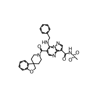 CS(=O)(=O)NC(=O)c1cnn2c(NCc3ccccc3)c(C(=O)N3CCC4(CC3)COc3ccccc34)cnc12